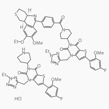 CCOc1cc2c(cc1OC)C(c1ccc(C(=O)N3CCC(n4c(=O)c5sc(-c6ccc(F)cc6OC)cc5n(Cc5nnn(CC)n5)c4=O)CC3)cc1)=N[C@@H]1CCSC[C@H]21.CCn1nnc(Cn2c(=O)n(C3CCNCC3)c(=O)c3sc(-c4ccc(F)cc4OC)cc32)n1.Cl